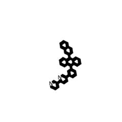 c1cncc(-c2ccc(-c3cccc(-c4c5ccccc5c(-c5ccc6ccccc6c5)c5ccccc45)c3)cn2)c1